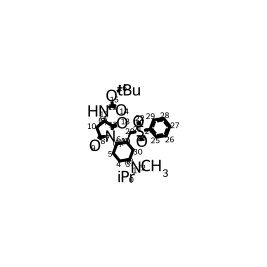 CC(C)N(C)[C@@H]1CC[C@H](N2C(=O)C[C@H](NC(=O)OC(C)(C)C)C2=O)[C@@H](CS(=O)(=O)c2ccccc2)C1